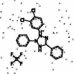 Clc1ccc([NH+]2N=C(c3ccccc3)NN2c2ccccc2)cc1Cl.F[B-](F)(F)F